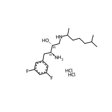 CC(C)CCCC(C)NC[C@@H](O)[C@@H](N)Cc1cc(F)cc(F)c1.Cl.Cl